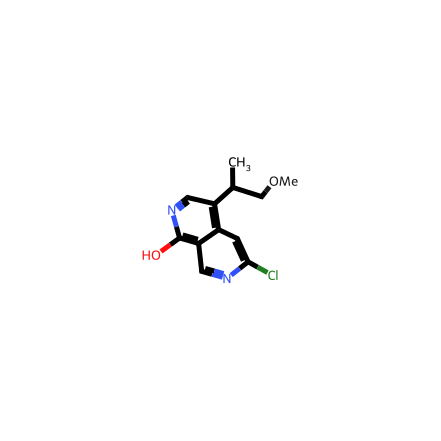 COCC(C)c1cnc(O)c2cnc(Cl)cc12